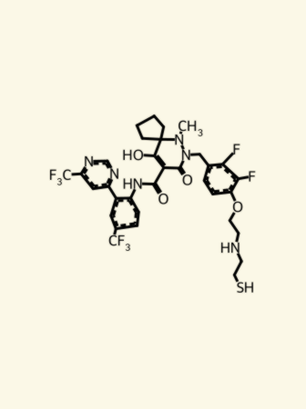 CN1N(Cc2ccc(OCCNCCS)c(F)c2F)C(=O)C(C(=O)Nc2ccc(C(F)(F)F)cc2-c2cc(C(F)(F)F)ncn2)=C(O)C12CCCC2